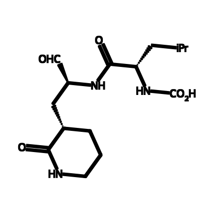 CC(C)C[C@H](NC(=O)O)C(=O)N[C@H](C=O)C[C@@H]1CCCNC1=O